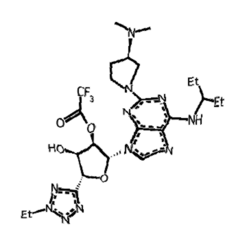 CCC(CC)Nc1nc(N2CC[C@@H](N(C)C)C2)nc2c1ncn2[C@@H]1O[C@H](c2nnn(CC)n2)[C@@H](O)[C@H]1OC(=O)C(F)(F)F